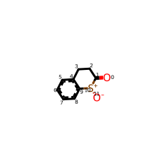 O=C1CCc2ccccc2[S+]1[O-]